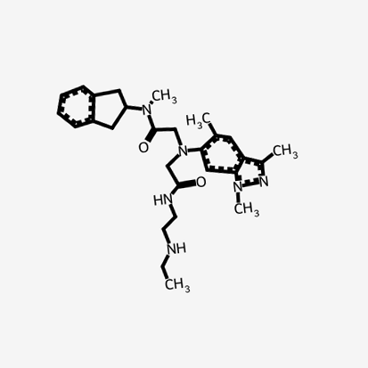 CCNCCNC(=O)CN(CC(=O)N(C)C1Cc2ccccc2C1)c1cc2c(cc1C)c(C)nn2C